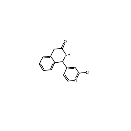 O=C1Cc2ccccc2C(c2ccnc(Cl)c2)N1